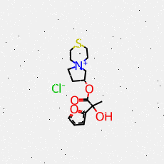 CC(O)(C(=O)OC1CC[N+]2(CCSCC2)C1)c1ccco1.[Cl-]